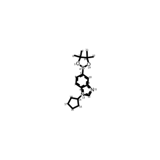 CC1(C)OB(c2ccc3c(c2)ncn3C2CCCC2)OC1(C)C